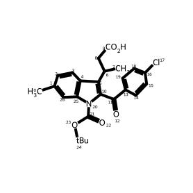 Cc1ccc2c(C(C)CC(=O)O)c(C(=O)c3ccc(Cl)cc3)n(C(=O)OC(C)(C)C)c2c1